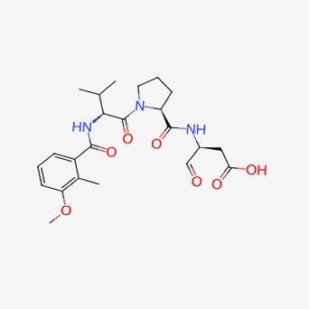 COc1cccc(C(=O)N[C@H](C(=O)N2CCC[C@H]2C(=O)N[C@H](C=O)CC(=O)O)C(C)C)c1C